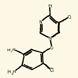 CCC1=C(Cl)CN(Oc2cc(N)c(N)cc2Cl)C=N1